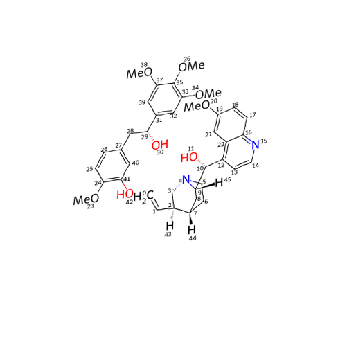 C=C[C@H]1C[N@]2CC[C@H]1C[C@H]2[C@H](O)c1ccnc2ccc(OC)cc12.COc1ccc(C[C@@H](O)c2cc(OC)c(OC)c(OC)c2)cc1O